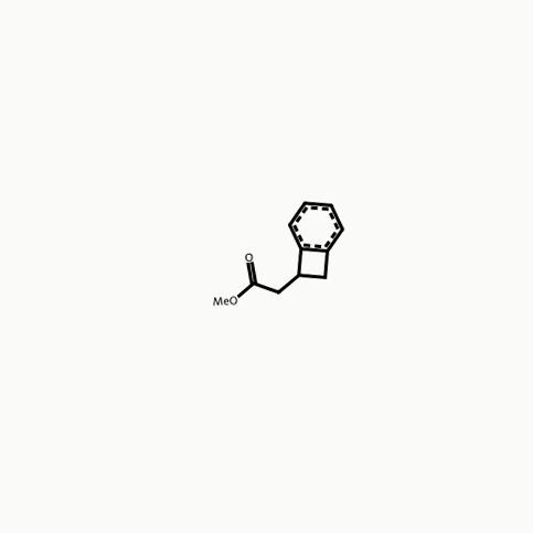 COC(=O)CC1Cc2ccccc21